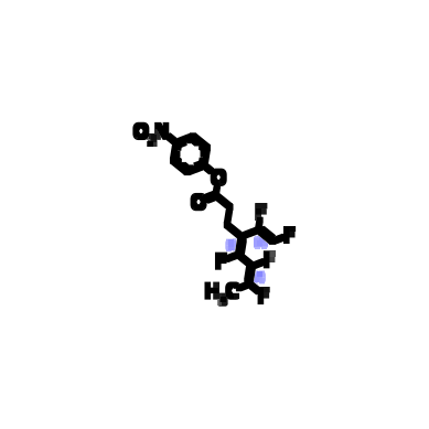 C\C(F)=C(F)/C(F)=C(CCC(=O)Oc1ccc([N+](=O)[O-])cc1)\C(F)=C\F